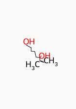 CC=C(C)C(O)CCCCCO